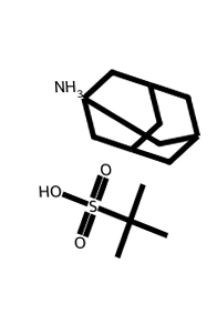 C1C2CC3CC1CC(C2)C3.CC(C)(C)S(=O)(=O)O.N